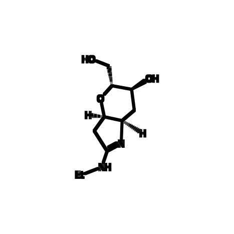 CCNC1=N[C@@H]2C[C@H](O)[C@@H](CO)O[C@@H]2C1